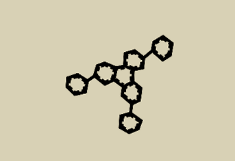 c1ccc(-c2ccc3c4ccc(-c5ccccc5)cc4c4cc(-c5ccccc5)ccc4c3c2)cc1